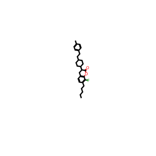 CCCCCc1ccc2c(c1F)OC(=O)C(C1CCC(CCc3ccc(C)cc3)CC1)C2